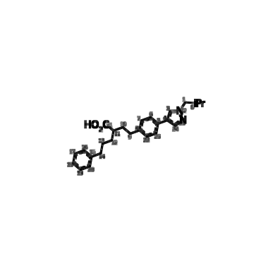 CC(C)Cn1cc(-c2ccc(CCC(CCCc3ccccc3)C(=O)O)cc2)cn1